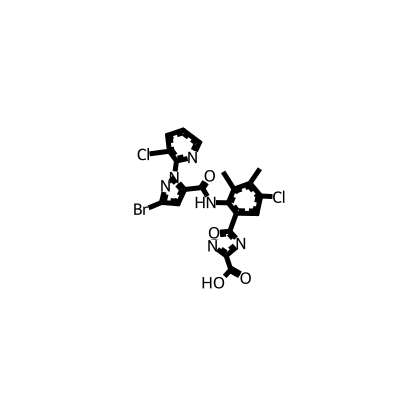 Cc1c(Cl)cc(-c2nc(C(=O)O)no2)c(NC(=O)c2cc(Br)nn2-c2ncccc2Cl)c1C